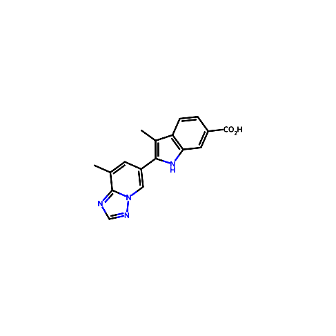 Cc1c(-c2cc(C)c3ncnn3c2)[nH]c2cc(C(=O)O)ccc12